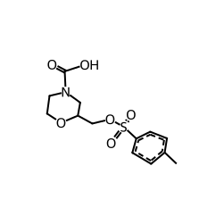 Cc1ccc(S(=O)(=O)OCC2CN(C(=O)O)CCO2)cc1